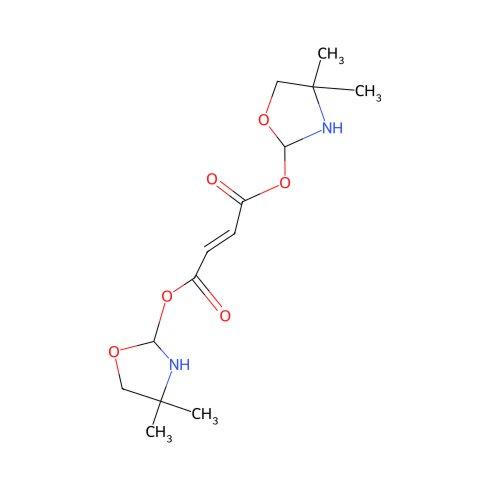 CC1(C)COC(OC(=O)/C=C/C(=O)OC2NC(C)(C)CO2)N1